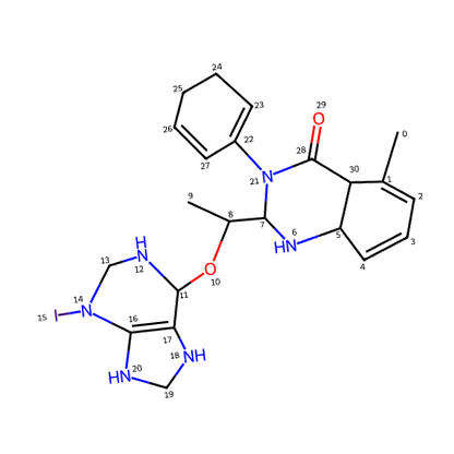 CC1=CC=CC2NC(C(C)OC3NCN(I)C4=C3NCN4)N(C3=CCCC=C3)C(=O)C12